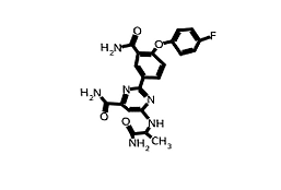 CC(Nc1cc(C(N)=O)nc(-c2ccc(Oc3ccc(F)cc3)c(C(N)=O)c2)n1)C(N)=O